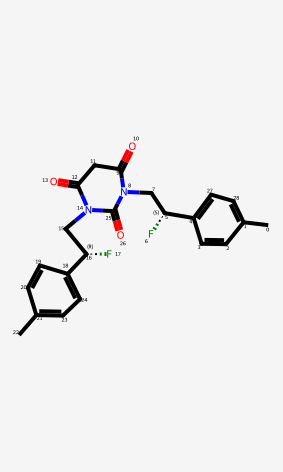 Cc1ccc([C@H](F)CN2C(=O)CC(=O)N(C[C@H](F)c3ccc(C)cc3)C2=O)cc1